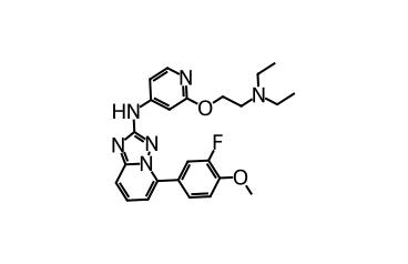 CCN(CC)CCOc1cc(Nc2nc3cccc(-c4ccc(OC)c(F)c4)n3n2)ccn1